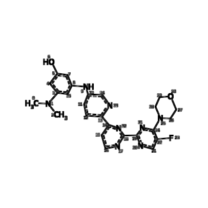 CN(C)c1cc(O)cc(Nc2ccc(-c3ccnc(-c4ncc(F)c(N5CCOCC5)n4)n3)nc2)c1